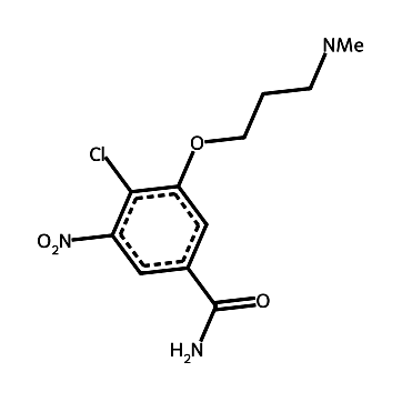 CNCCCOc1cc(C(N)=O)cc([N+](=O)[O-])c1Cl